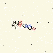 COC(OC)C1CCN(c2ccc(Br)cn2)CC1